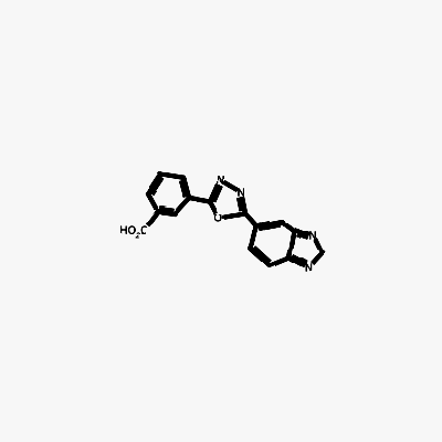 O=C(O)c1cccc(-c2nnc(-c3ccc4c(c3)=NCN=4)o2)c1